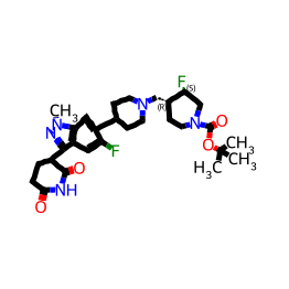 Cn1nc(C2CCC(=O)NC2=O)c2cc(F)c(C3CCN(C[C@H]4CCN(C(=O)OC(C)(C)C)C[C@H]4F)CC3)cc21